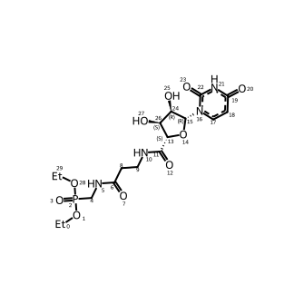 CCOP(=O)(CNC(=O)CCNC(=O)[C@H]1O[C@@H](n2ccc(=O)[nH]c2=O)[C@H](O)[C@@H]1O)OCC